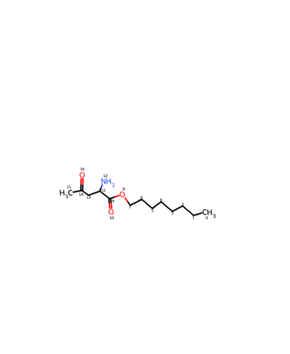 CCCCCCCCOC(=O)C(N)CC(C)=O